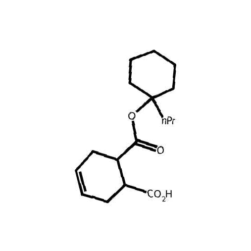 CCCC1(OC(=O)C2CC=CCC2C(=O)O)CCCCC1